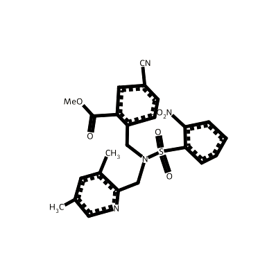 COC(=O)c1cc(C#N)ccc1CN(Cc1ncc(C)cc1C)S(=O)(=O)c1ccccc1[N+](=O)[O-]